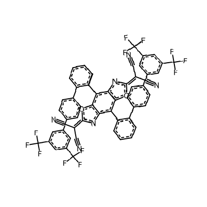 N#CC(C#N)=c1nc2c(-c3ccccc3-c3ccc(-c4cc(C(F)(F)F)cc(C(F)(F)F)c4)cc3)c3oc(=C(C#N)C#N)nc3c(-c3ccccc3-c3ccc(-c4cc(C(F)(F)F)cc(C(F)(F)F)c4)cc3)c2o1